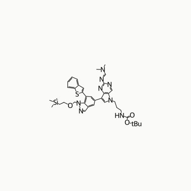 CN(C)/C=N/c1ncc2c(n1)c(-c1cc(-c3cc4ccccc4s3)c3c(cnn3COCC[Si](C)(C)C)c1)cn2CCCNC(=O)OC(C)(C)C